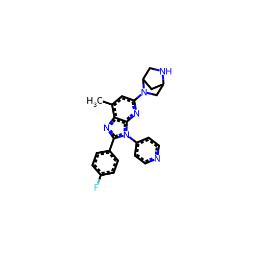 Cc1cc(N2CC3CC2CN3)nc2c1nc(-c1ccc(F)cc1)n2-c1ccncc1